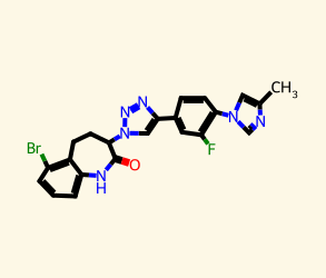 Cc1cn(-c2ccc(-c3cn(C4CCc5c(Br)cccc5NC4=O)nn3)cc2F)cn1